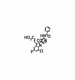 O=C(O)C=CC1=c2cc(F)cc(Cl)c2=NC1(C(=O)O)c1cccc(NC(=O)c2ccccc2)c1